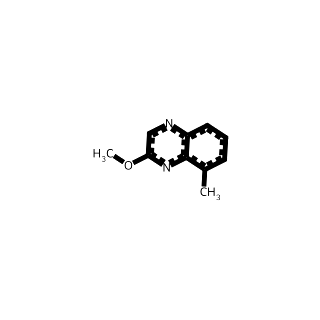 COc1cnc2cccc(C)c2n1